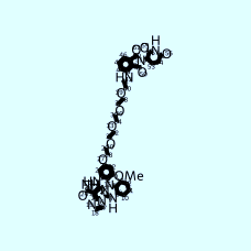 COc1cc(Nc2nc(N[C@H]3CCCC[C@H]3N)n3ccnc3c2C(N)=O)cc(OCCOCCOCCOCCOCCNc2cccc3c2C(=O)N(C2CCC(=O)NC2=O)C3=O)c1